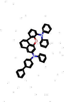 c1ccc(-c2ccc(N(c3ccccc3)c3cc4c5c(cccc5c3)-c3cccc(N(c5ccccc5)c5ccccc5)c3O4)cc2)cc1